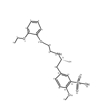 CCOc1ccccc1OCCN[C@H](C)Cc1ccc(OC)c(S(=O)(=O)O)c1